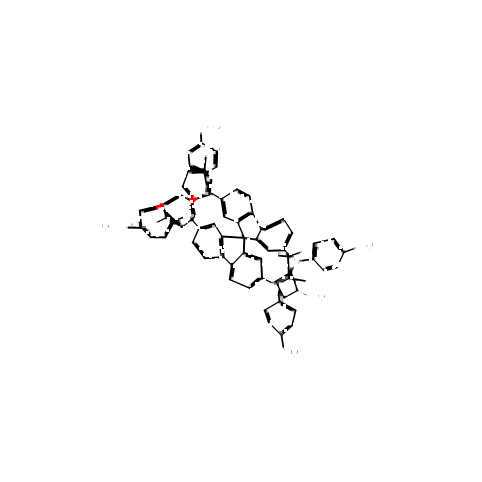 COc1ccc(N(c2ccc(OC)cc2)c2ccc3c(c2)C2(c4cc(N(c5ccc(OC)cc5)c5ccc(OC)cc5)ccc4-c4ccc(N(c5ccc(OC)cc5)C5CC[C@@H]5OC)cc42)c2cc(N(c4ccc(OC)cc4)C(C)C(C)OC)ccc2-3)cc1